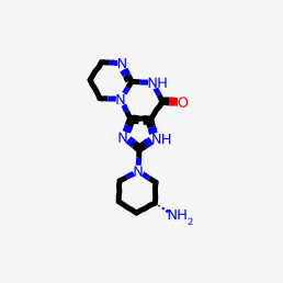 N[C@@H]1CCCN(c2nc3c([nH]2)C(=O)NC2=NCCCN23)C1